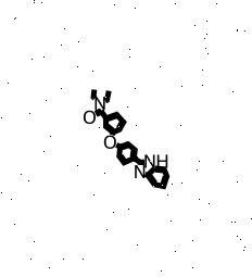 CCN(CC)C(=O)c1cccc(Oc2ccc(-c3nc4ccccc4[nH]3)cc2)c1